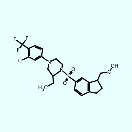 CCC1CN(c2ccc(C(F)(F)F)c(Cl)c2)CCN1S(=O)(=O)c1ccc2c(c1)C(COO)CC2